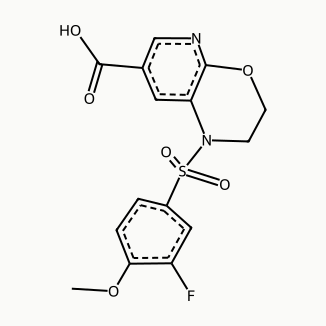 COc1ccc(S(=O)(=O)N2CCOc3ncc(C(=O)O)cc32)cc1F